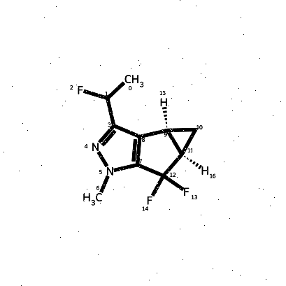 CC(F)c1nn(C)c2c1[C@H]1C[C@H]1C2(F)F